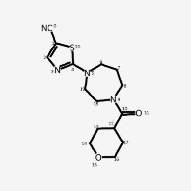 N#Cc1cnc(N2CCCN(C(=O)C3CCOCC3)CC2)s1